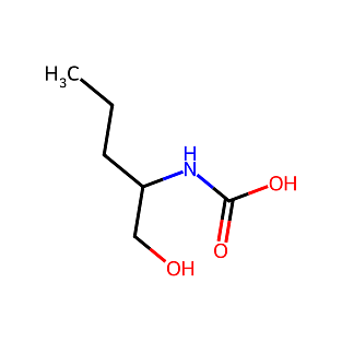 CCCC(CO)NC(=O)O